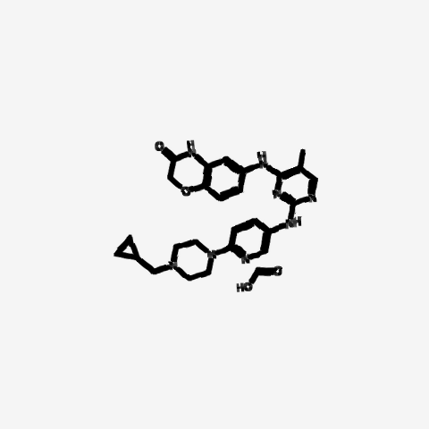 Cc1cnc(Nc2ccc(N3CCN(CC4CC4)CC3)nc2)nc1Nc1ccc2c(c1)NC(=O)CO2.O=CO